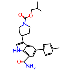 Cc1ccc(-c2cc(C(N)=O)c3[nH]cc(C4CCN(C(=O)OCC(C)C)CC4)c3c2)cc1